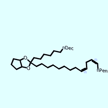 CCCCC/C=C\C/C=C\CCCCCCCCC1(CCCCCCCCCCCCCCCC)OC2CCCC2O1